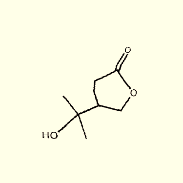 CC(C)(O)C1COC(=O)C1